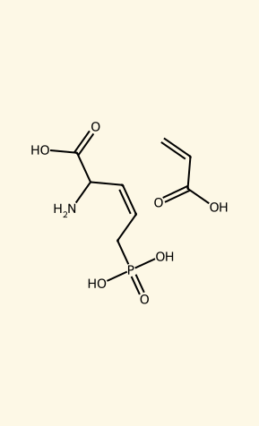 C=CC(=O)O.NC(/C=C\CP(=O)(O)O)C(=O)O